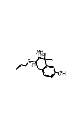 CCCS[C@@H]1Cc2ccc(O)cc2C(C)(C)[C@H]1N